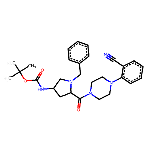 CC(C)(C)OC(=O)NC1CC(C(=O)N2CCN(c3ccccc3C#N)CC2)N(Cc2ccccc2)C1